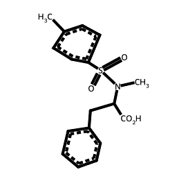 Cc1ccc(S(=O)(=O)N(C)C(Cc2ccccc2)C(=O)O)cc1